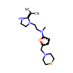 CN(CCN1CCNC1=C(C#N)C#N)c1ccc(CN2CCSCC2)o1